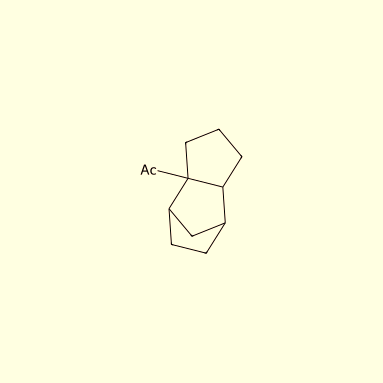 CC(=O)C12CCCC1C1CCC2C1